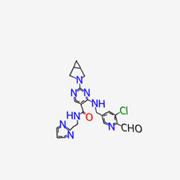 O=Cc1ncc(CNc2nc(N3CC4CC4C3)ncc2C(=O)NCc2ncccn2)cc1Cl